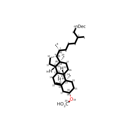 CCCCCCCCCCCC(C)CCC[C@@H](C)[C@H]1CC[C@H]2[C@@H]3CC=C4C[C@@H](OC(=O)O)CC[C@]4(C)[C@H]3CC[C@]12C